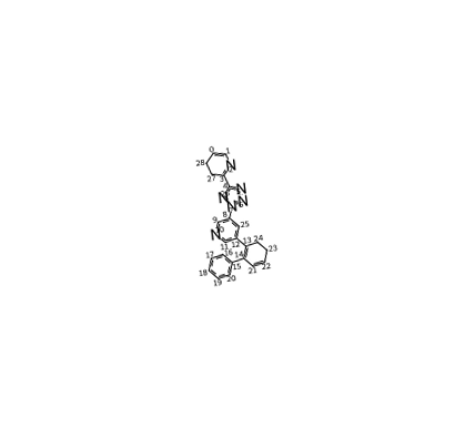 C1=CN=C(c2nnn(-c3cncc(C4=C(c5ccccc5)C=CCC4)c3)n2)CC1